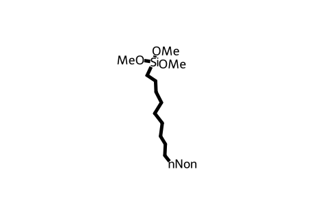 [CH2]CCCCCCCCCCCCCCCCC[Si](OC)(OC)OC